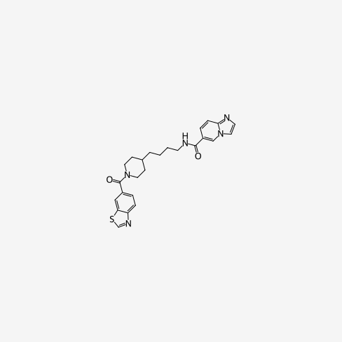 O=C(NCCCCC1CCN(C(=O)c2ccc3ncsc3c2)CC1)c1ccc2nccn2c1